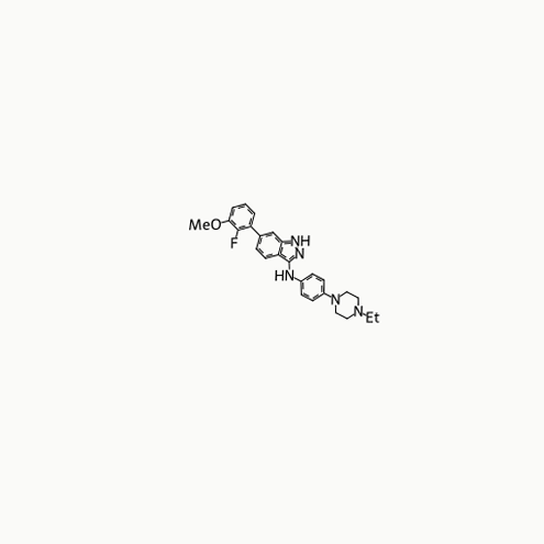 CCN1CCN(c2ccc(Nc3n[nH]c4cc(-c5cccc(OC)c5F)ccc34)cc2)CC1